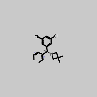 C/C=C\C(=C/C)[C@H](c1cc(Cl)cc(Cl)c1)N1CC(C)(C)C1